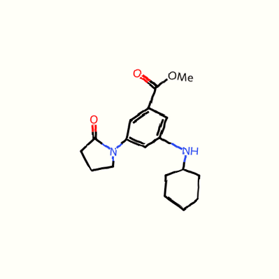 COC(=O)c1cc(NC2CCCCC2)cc(N2CCCC2=O)c1